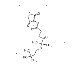 CC(C)(O)CCOC(C)(C)C(=O)CCC(=O)ON1C(=O)CCC1=O